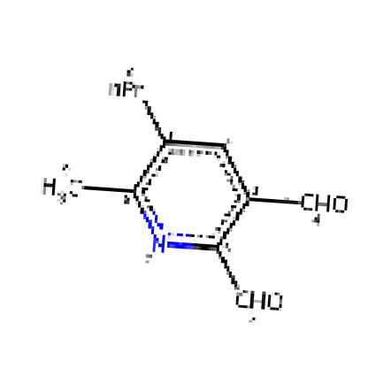 CCCc1cc(C=O)c(C=O)nc1C